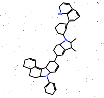 CC1C2=CC(C3C=CC4C(C3)C3=C5C=CCCC5CCC3N4C3=CCCC=C3)CCC2N(C2C=C(c3cccc4c3NCC=C4)CCC2)C1C